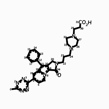 Cc1nnc(-c2ccn3c4c(c(-c5ccccc5)c3c2)CN(CCCN2CCN(CCC(=O)O)CC2)C4=O)nn1